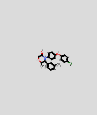 CCOC(=O)C1OCC(=O)N(c2ccc(Oc3ccc(Cl)cc3)cc2)C1c1cccc(C(F)(F)F)c1